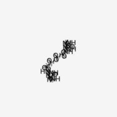 O=C(CCOC(=O)CCC(=O)ONc1nc2nc[nH]c2c(=O)[nH]1)CCC(=O)ONc1nc2nc[nH]c2c(=O)[nH]1